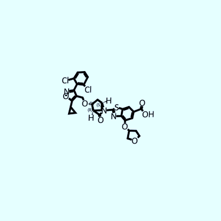 O=C(O)c1cc(OC2CCOC2)c2nc(N3C(=O)[C@@H]4C[C@H]3C[C@H]4OCc3c(-c4c(Cl)cccc4Cl)noc3C3CC3)sc2c1